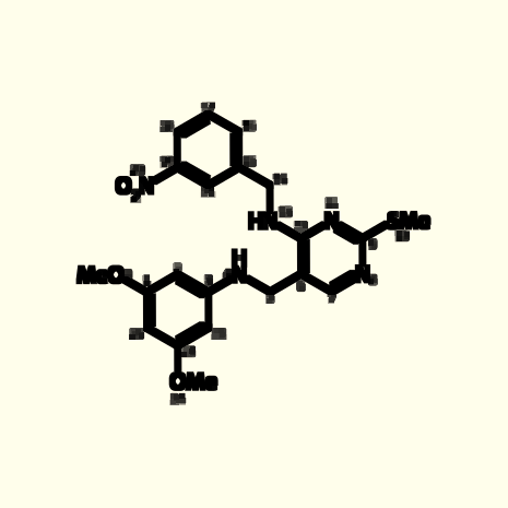 COc1cc(NCc2cnc(SC)nc2NCc2cccc([N+](=O)[O-])c2)cc(OC)c1